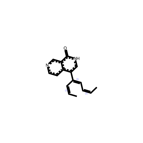 C\C=C/C=C(\C=C/C)c1c[nH]c(=O)c2cnccc12